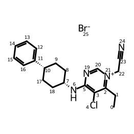 CCc1c(Cl)c(N[C@H]2CC[C@@H](c3ccccc3)CC2)nc[n+]1CC#N.[Br-]